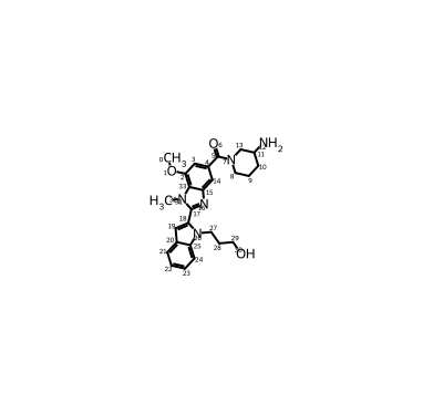 COc1cc(C(=O)N2CCCC(N)C2)cc2nc(-c3cc4ccccc4n3CCCO)n(C)c12